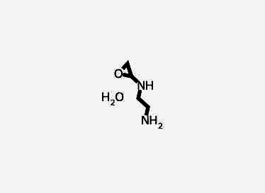 NCCNC1CO1.O